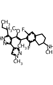 CCCc1[nH]nc(-c2cnn(C)c2)c1/C(OC)=C(\C)c1c(F)cc2c(c1F)CC(NC)CC2